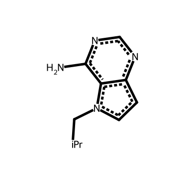 CC(C)Cn1ccc2ncnc(N)c21